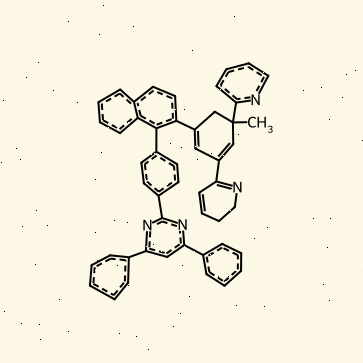 CC1(c2ccccn2)C=C(C2=NCCC=C2)C=C(c2ccc3ccccc3c2-c2ccc(-c3nc(-c4ccccc4)cc(-c4ccccc4)n3)cc2)C1